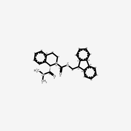 CN(C)C(=O)[C@@H]1c2ccccc2CCN1C(=O)OCC1c2ccccc2-c2ccccc21